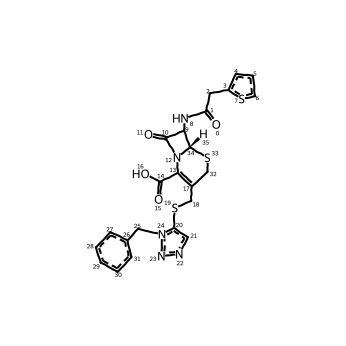 O=C(Cc1cccs1)NC1C(=O)N2C(C(=O)O)=C(CSc3cnnn3Cc3ccccc3)CS[C@@H]12